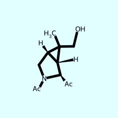 CC(=O)[C@@H]1[C@@H]2[C@H](CN1C(C)=O)C2(C)CO